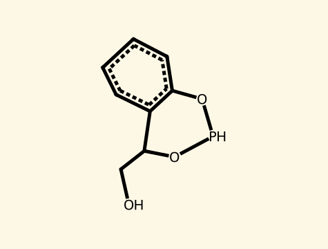 OCC1OPOc2ccccc21